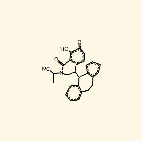 CC(C#N)N1CC(C2c3ccccc3CCc3ccccc32)n2ccc(=O)c(O)c2C1=O